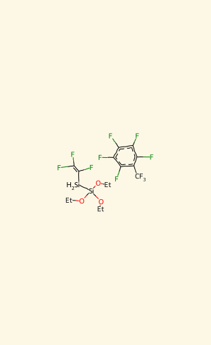 CCO[Si](OCC)(OCC)[SiH2]C(F)=C(F)F.Fc1c(F)c(F)c(C(F)(F)F)c(F)c1F